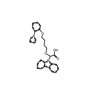 O=C(O)C(OCCCCOc1ccccc1-n1cccc1)n1c2ccccc2c2ccccc21